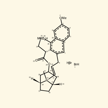 Br.Br.COc1ccc2cc(CC=C[N+]3(C)[C@@H]4CC[C@H]3CC(OC(=O)CCC(=O)O)C4)cc(OC)c2c1